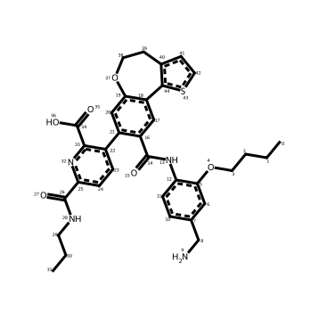 CCCCOc1cc(CN)ccc1NC(=O)c1cc2c(cc1-c1ccc(C(=O)NCCC)nc1C(=O)O)OCCc1ccsc1-2